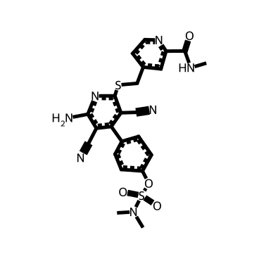 CNC(=O)c1cc(CSc2nc(N)c(C#N)c(-c3ccc(OS(=O)(=O)N(C)C)cc3)c2C#N)ccn1